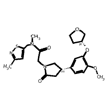 COc1ccc([C@@H]2CC(=O)N(CC(=O)N(C)c3cc(C)ns3)C2)cc1O[C@@H]1CCOC1